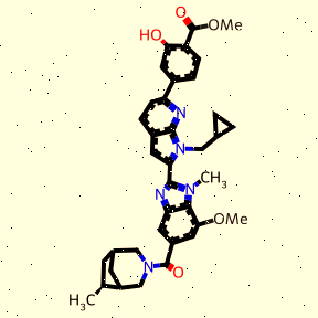 COC(=O)c1ccc(-c2ccc3cc(-c4nc5cc(C(=O)N6CC7CC(C6)[C@@H](C)C7)cc(OC)c5n4C)n(CC4CC4)c3n2)cc1O